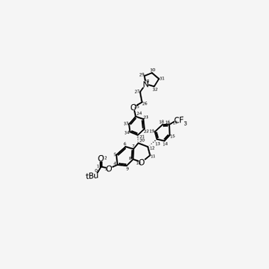 CC(C)(C)C(=O)Oc1ccc2c(c1)OC[C@@H](c1ccc(C(F)(F)F)cc1)[C@H]2c1ccc(OCCN2CCCC2)cc1